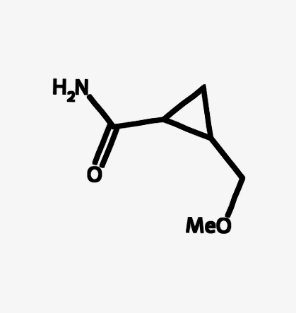 COCC1CC1C(N)=O